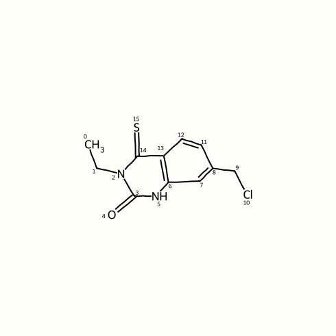 CCn1c(=O)[nH]c2cc(CCl)ccc2c1=S